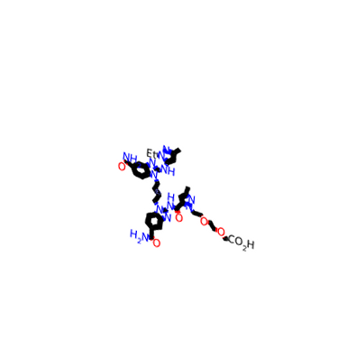 CCn1nc(C)cc1Nc1nc2cc(C(N)=O)ccc2n1C/C=C/Cn1c(NC(=O)c2cc(C)nn2CCOCCOCC(=O)O)nc2cc(C(N)=O)ccc21